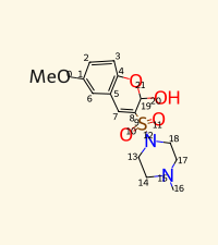 COc1ccc2c(c1)C=C(S(=O)(=O)N1CCN(C)CC1)C(O)O2